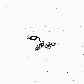 COc1ccc(CCC[C@@]2(Cn3ccnc3)OC[C@@H](COS(=O)(=O)c3ccc(C)cc3)O2)cc1